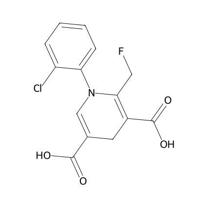 O=C(O)C1=CN(c2ccccc2Cl)C(CF)=C(C(=O)O)C1